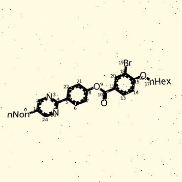 CCCCCCCCCc1cnc(-c2ccc(OC(=O)c3ccc(OCCCCCC)c(Br)c3)cc2)nc1